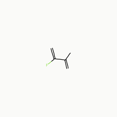 C=C(C)C(=C)F